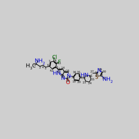 C[C@H](N)CCCc1cc(Cl)c(F)c(-c2cc3cn(-c4ccc([C@@H]5CCC[C@@H](Cc6ncc(N)s6)N5)cc4)c(=O)nc3[nH]2)c1